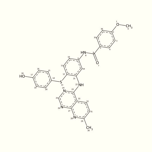 COc1ccc(C(=O)Nc2ccc(Sc3ccc(O)cc3)c(Nc3ncnc4nc(C)ccc34)c2)cc1